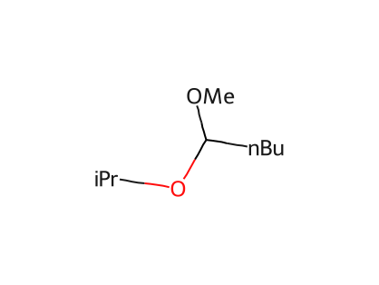 CCCCC(OC)OC(C)C